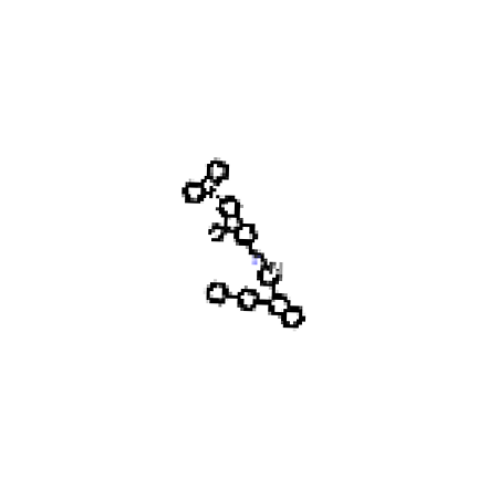 CCC1(CC)c2cc(/C=C/c3ccc(-c4cc5ccccc5cc4-c4ccc(-c5ccccc5)cc4)cn3)ccc2-c2ccc(-n3c4ccccc4c4ccccc43)cc21